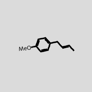 CC=CCc1ccc(OC)cc1